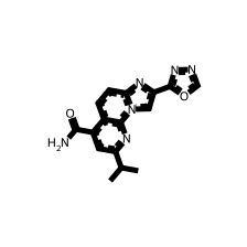 CC(C)c1cc(C(N)=O)c2ccc3nc(-c4nnco4)cn3c2n1